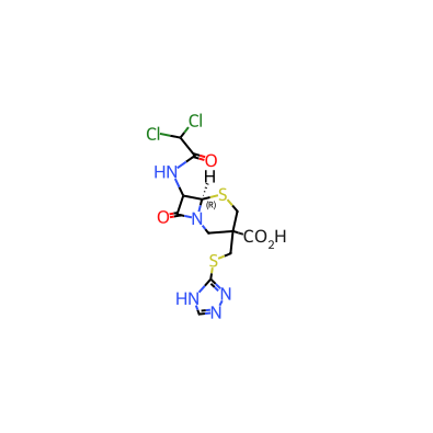 O=C(NC1C(=O)N2CC(CSc3nnc[nH]3)(C(=O)O)CS[C@H]12)C(Cl)Cl